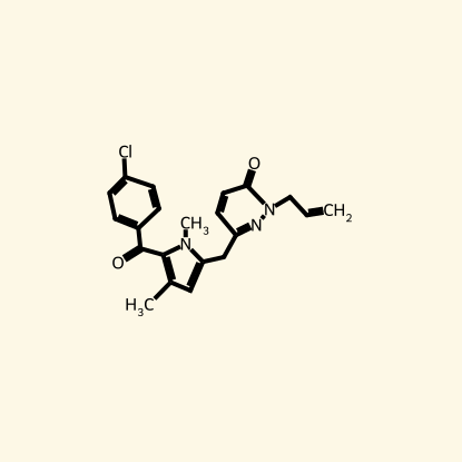 C=CCn1nc(Cc2cc(C)c(C(=O)c3ccc(Cl)cc3)n2C)ccc1=O